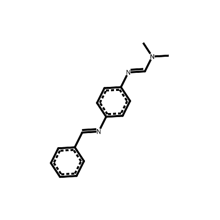 CN(C)/C=N/c1ccc(/N=C/c2ccccc2)cc1